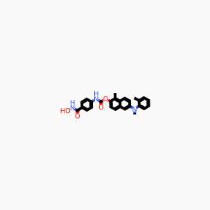 Cc1ccccc1N(C)c1ccc2c(C)c(OC(=O)Nc3ccc(C(=O)NO)cc3)ccc2c1